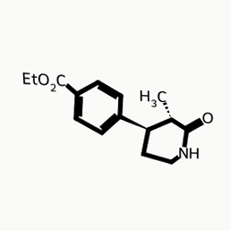 CCOC(=O)c1ccc([C@@H]2CCNC(=O)[C@H]2C)cc1